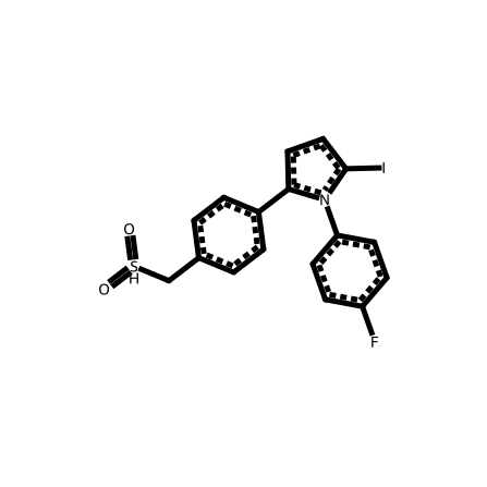 O=[SH](=O)Cc1ccc(-c2ccc(I)n2-c2ccc(F)cc2)cc1